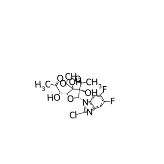 CC(=O)C(O)[C@H]1O[C@@H](n2c(Cl)nc3cc(F)c(F)cc32)[C@@](O)(C(C)=O)[C@@]1(O)C(C)=O